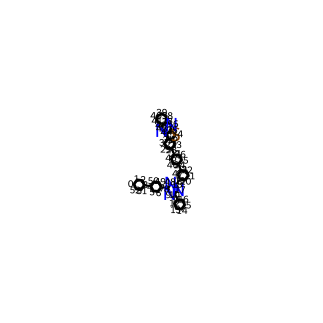 c1ccc(-c2ccc(-c3nc(-c4ccccc4)nc(-c4cccc(-c5ccc(-c6ccc7c(c6)sc6nc8ccccc8nc67)cc5)c4)n3)cc2)cc1